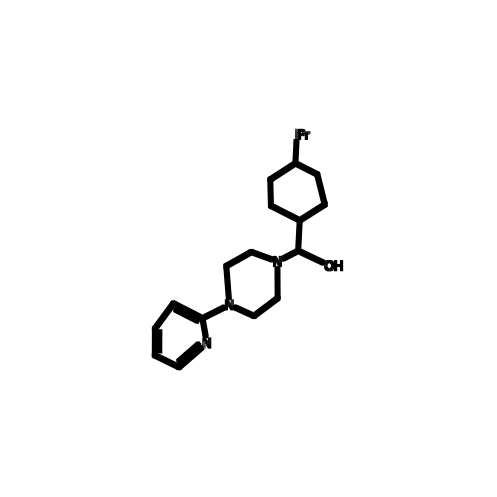 CC(C)C1CCC(C(O)N2CCN(c3ccccn3)CC2)CC1